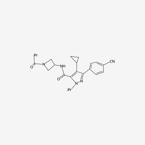 CC(C)C(=O)N1CC(NC(=O)c2c(C3CC3)c(-c3ccc(C#N)cc3)nn2C(C)C)C1